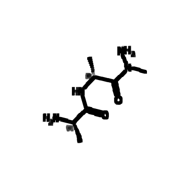 C[C@@H](N)C(=O)N[C@H](C)C(=O)N(C)N